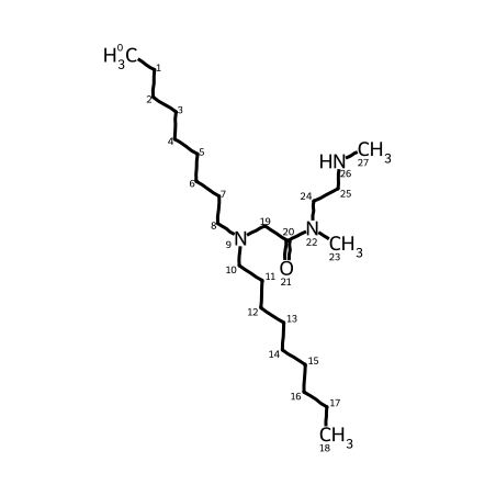 CCCCCCCCCN(CCCCCCCCC)CC(=O)N(C)CCNC